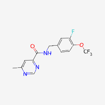 Cc1cc(C(=O)NCc2ccc(OC(F)(F)F)c(F)c2)ncn1